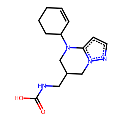 O=C(O)NCC1CN(C2C=CCCC2)c2ccnn2C1